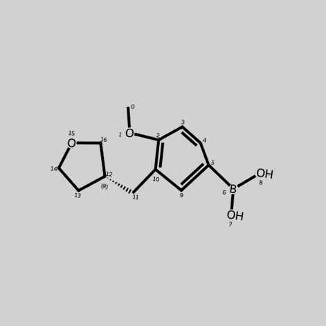 COc1ccc(B(O)O)cc1C[C@@H]1CCOC1